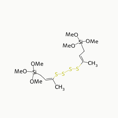 CO[Si](CC=C(C)SSSSC(C)=CC[Si](OC)(OC)OC)(OC)OC